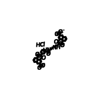 Cl.O=C(NCCNCCN1C(=O)c2cccc3cc([N+](=O)[O-])cc(c23)C1=O)c1cccc(N2C(=O)c3cccc4cc([N+](=O)[O-])cc(c34)C2=O)c1